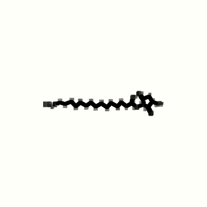 CC(C)C1CC(=O)N(OC(=O)CCCCCCCCCCCCCCC(=O)O)C1=O